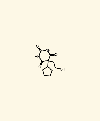 O=C1NC(=O)C(CCO)(C2CCCC2)C(=O)N1